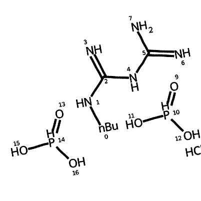 CCCCNC(=N)NC(=N)N.Cl.O=[PH](O)O.O=[PH](O)O